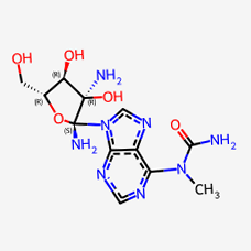 CN(C(N)=O)c1ncnc2c1ncn2[C@]1(N)O[C@H](CO)[C@@H](O)[C@@]1(N)O